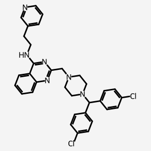 Clc1ccc(C(c2ccc(Cl)cc2)N2CCN(Cc3nc(NCCc4cccnc4)c4ccccc4n3)CC2)cc1